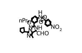 CCCOc1ccc(NS(=O)(=O)c2ccc([N+](=O)[O-])cc2)cc1C1=Nn2c(C3CCCC3)nc(C)c2C(C=O)N1